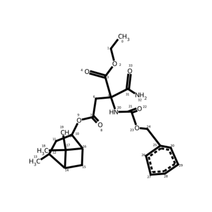 CCOC(=O)C(CC(=O)OC1CC(C)C2CC1C2(C)C)(NC(=O)OCc1ccccc1)C(N)=O